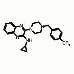 FC(F)(F)c1ccc(CN2CCN(c3nc4ccccc4nc3NC3CC3)CC2)cc1